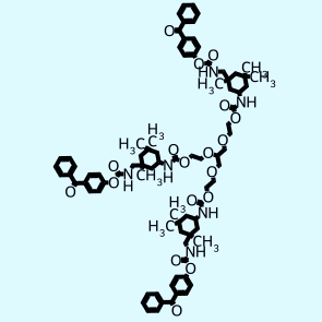 CC1(C)CC(NC(=O)OCCOCC(COCCOC(=O)NC2CC(C)(C)CC(C)(CNC(=O)Oc3ccc(C(=O)c4ccccc4)cc3)C2)OCCOC(=O)NC2CC(C)(C)CC(C)(CNC(=O)Oc3ccc(C(=O)c4ccccc4)cc3)C2)CC(C)(CNC(=O)Oc2ccc(C(=O)c3ccccc3)cc2)C1